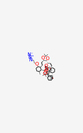 Cc1ccc(OCCN=[N+]=[N-])c(/C=C/[C@H]2OC(C)(C)O[C@@H]2C(/C=C\[C@@H](C)[C@H](C)O[Si](c2ccccc2)(c2ccccc2)C(C)(C)C)O[Si](C)(C)C(C)(C)C)c1C(=O)OCC[Si](C)(C)C